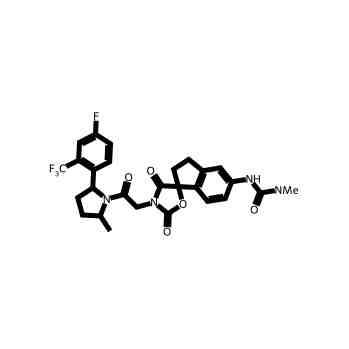 CNC(=O)Nc1ccc2c(c1)CCC21OC(=O)N(CC(=O)N2C(C)CCC2c2ccc(F)cc2C(F)(F)F)C1=O